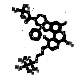 CC(C)(C)OC(=O)N1CCN2c3cc(F)c(Cl)c(C4=C(C(N)=O)C=CC(OCCO[Si](C)(C)C(C)(C)C)C4F)c3C[C@@]2(c2ccccc2)C1